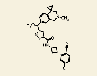 C[C@@H](c1ccc2c(c1)CN(C)CC21CC1)n1cc(C(=O)N[C@H]2C[C@@H](c3cc(Cl)ccc3C#N)C2)nn1